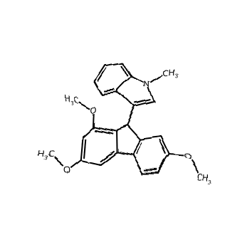 COc1cc(OC)c2c(c1)-c1ccc(OC)cc1C2c1cn(C)c2ccccc12